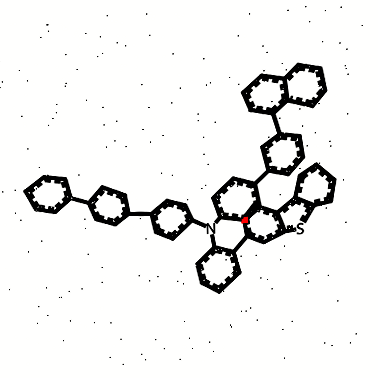 c1ccc(-c2ccc(-c3ccc(N(c4ccc(-c5cccc(-c6cccc7ccccc67)c5)cc4)c4ccccc4-c4ccc5c(c4)sc4ccccc45)cc3)cc2)cc1